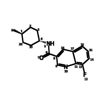 C[C@H]1CC[C@H](NC(=O)c2cnc3c(F)cccc3c2)CC1